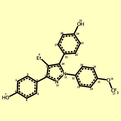 CCc1c(-c2ccc(O)cc2)nn(-c2ccc(OC(F)(F)F)cc2)c1-c1ccc(O)cc1